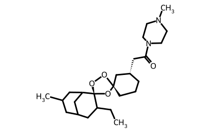 CCC1CC2CC(C)CC(C2)[C@@]12OO[C@@]1(CCC[C@@H](CC(=O)N3CCN(C)CC3)C1)O2